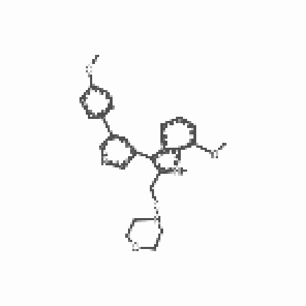 COc1ccc(-c2cncc(-c3c(CCN4CCOCC4)[nH]c4c(OC)cccc34)c2)cc1